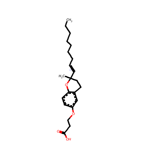 CCCCCCC/C=C/C1(C)CCc2cc(OCCC(=O)O)ccc2O1